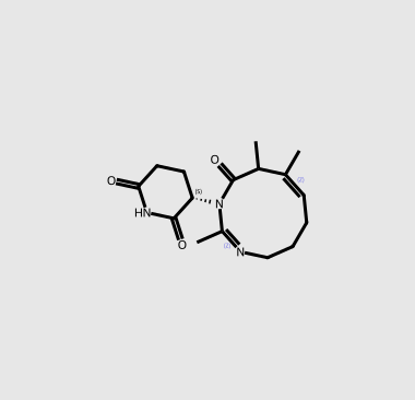 C/C1=C/CCC/N=C(/C)N([C@H]2CCC(=O)NC2=O)C(=O)C1C